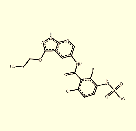 CCCS(=O)(=O)Nc1ccc(Cl)c(C(=O)Nc2cnc3[nH]nc(OCCO)c3c2)c1F